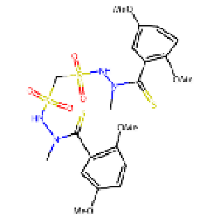 COc1ccc(OC)c(C(=S)N(C)NS(=O)(=O)CS(=O)(=O)NN(C)C(=S)c2cc(OC)ccc2OC)c1